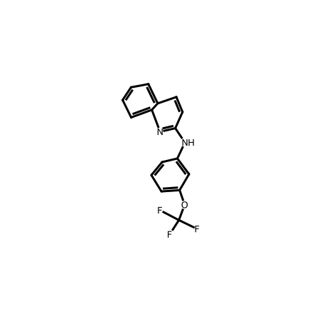 FC(F)(F)Oc1cccc(Nc2ccc3ccccc3n2)c1